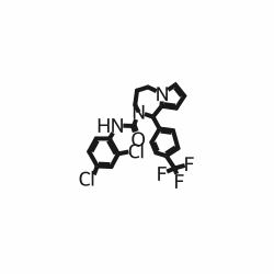 O=C(Nc1ccc(Cl)cc1Cl)N1CCCn2cccc2C1c1ccc(C(F)(F)F)cc1